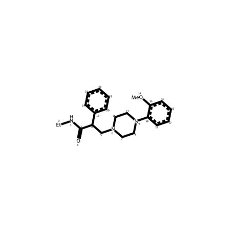 CCNC(=O)C(CN1CCN(c2ccccc2OC)CC1)c1ccccc1